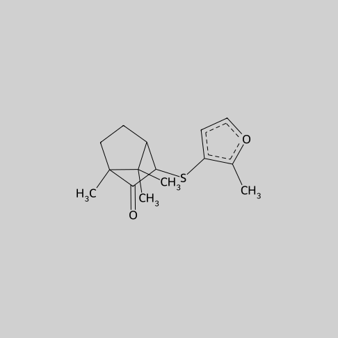 Cc1occc1SC1C(=O)C2(C)CCC1C2(C)C